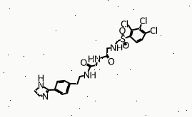 O=C(CNCS(=O)(=O)c1ccc(Cl)c(Cl)c1Cl)NCC(=O)NCCc1ccc(C2=NCCN2)cc1